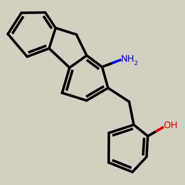 Nc1c(Cc2ccccc2O)ccc2c1Cc1ccccc1-2